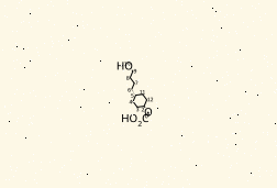 O=C(O)O[C@H]1CC[C@H](CCCCO)CC1